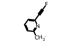 [CH2]c1cccc(C#CF)n1